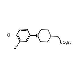 CCOC(=O)CC1CCN(c2ccc(Cl)c(Cl)c2)CC1